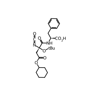 CC(C)(C)O[C@](CC(=O)OC1CCCCC1)(N=C=O)C(=O)N[C@@H](Cc1ccccc1)C(=O)O